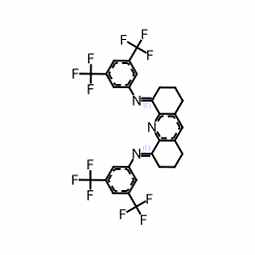 FC(F)(F)c1cc(/N=C2\CCCc3cc4c(nc32)/C(=N/c2cc(C(F)(F)F)cc(C(F)(F)F)c2)CCC4)cc(C(F)(F)F)c1